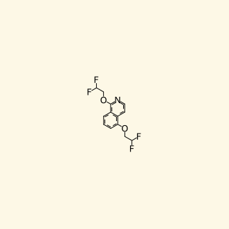 FC(F)COc1cccc2c(OCC(F)F)nccc12